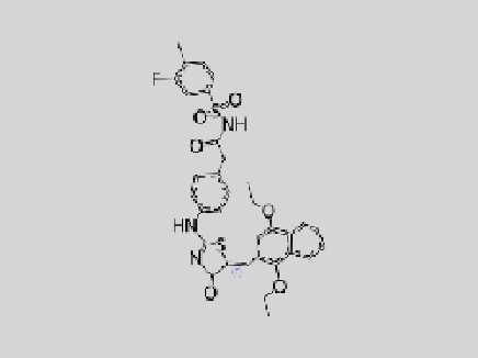 CCOc1cc(/C=C2\SC(Nc3ccc(CC(=O)NS(=O)(=O)c4ccc(C)c(F)c4)cc3)=NC2=O)c(OCC)c2ccccc12